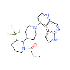 CCC(=O)N1CCCC(C(F)(F)F)C1C1CCN(c2ccnc3cnc4[nH]ccc4c23)CC1